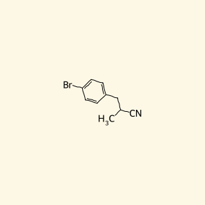 CC(C#N)Cc1ccc(Br)cc1